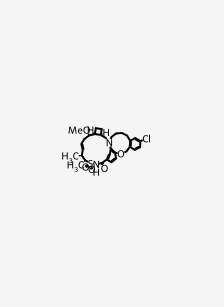 COC1C/C=C/[C@H](C)[C@@H](C)S(=O)(=O)NC(=O)c2ccc3c(c2)N(CCCCc2cc(Cl)ccc2CO3)C[C@@H]2CC[C@@H]12